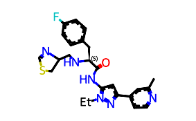 CCn1nc(-c2ccnc(C)c2)cc1NC(=O)[C@H](Cc1ccc(F)cc1)NCC1CSC=N1